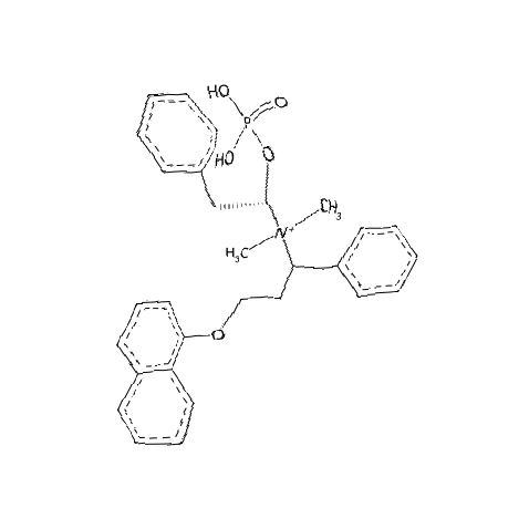 C[N+](C)(C(CCOc1cccc2ccccc12)c1ccccc1)[C@H](Cc1ccccc1)OP(=O)(O)O